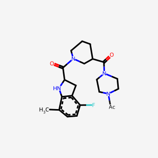 CC(=O)N1CCN(C(=O)C2CCCN(C(=O)C3Cc4c(F)ccc(C)c4N3)C2)CC1